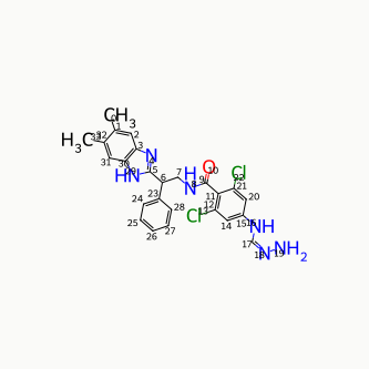 Cc1cc2nc(C(CNC(=O)c3c(Cl)cc(N/C=N\N)cc3Cl)c3ccccc3)[nH]c2cc1C